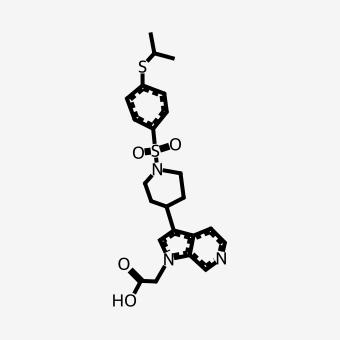 CC(C)Sc1ccc(S(=O)(=O)N2CCC(c3cn(CC(=O)O)c4cnccc34)CC2)cc1